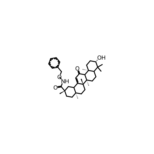 CC1(C)C2CC[C@]3(C)C(C(=O)C=C4C5C[C@@](C)(C(=O)NOCc6ccccc6)CC[C@]5(C)CC[C@]43C)[C@@]2(C)CC[C@@H]1O